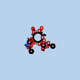 C=C1[C@@H](CC)OC(=O)[C@H](C)[C@@H](OC2C[C@@](C)(OC)[C@@H](OC(=O)c3ccccc3)[C@H](C)O2)[C@H](C)[C@@H](OC2O[C@H](C)C[C@H](N(C)C)[C@H]2OC(=O)c2ccccc2)[C@@](C)(OC)C[C@@H](C)[C@H](OC=O)[C@H](C)[C@H]1OC=O